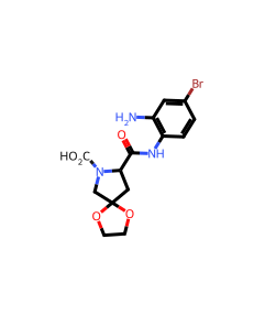 Nc1cc(Br)ccc1NC(=O)C1CC2(CN1C(=O)O)OCCO2